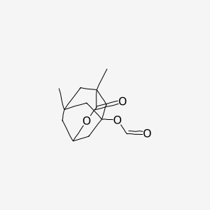 CC12CC3CC(OC=O)(C1)CC(C)(C2)C(=O)O3